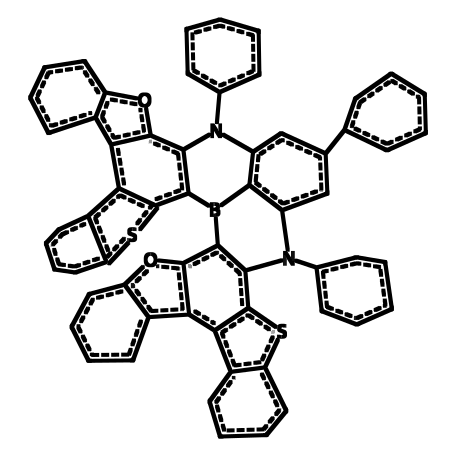 c1ccc(-c2cc3c4c(c2)N(c2ccccc2)c2c(c5oc6ccccc6c5c5c2sc2ccccc25)B4c2c(c4oc5ccccc5c4c4c2sc2ccccc24)N3c2ccccc2)cc1